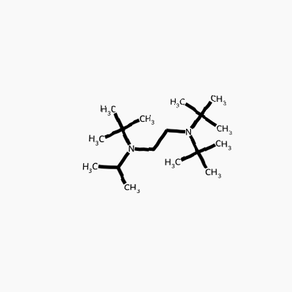 CC(C)N(CCN(C(C)(C)C)C(C)(C)C)C(C)(C)C